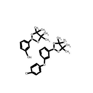 CC1(C)OB(c2cccc(O)c2)OC1(C)C.CC1(C)OB(c2cccc(Oc3ccc(Cl)cc3)c2)OC1(C)C